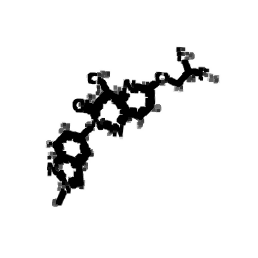 Cn1cc2cc(-n3nc4ccc(OCC(F)F)nc4c(Cl)c3=O)ccc2n1